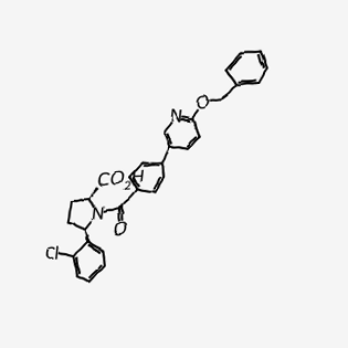 O=C(O)[C@@H]1CC[C@H](c2ccccc2Cl)N1C(=O)c1ccc(-c2ccc(OCc3ccccc3)nc2)cc1